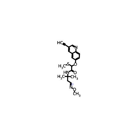 C#Cc1cnc2ccc(OC(SC)C(=O)NC(C)(C)C/C=N/OC)cc2c1